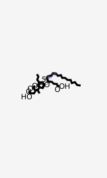 CCCCCCCCCC/C=C\C=C\[C@@H](Sc1ccc2c(C)c(CC(=O)O)c(=O)oc2c1CCC)[C@@H](O)CCCC(=O)O